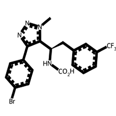 Cn1nnc(-c2ccc(Br)cc2)c1[C@@H](Cc1cccc(C(F)(F)F)c1)NC(=O)O